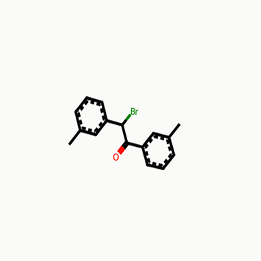 Cc1cccc(C(=O)C(Br)c2cccc(C)c2)c1